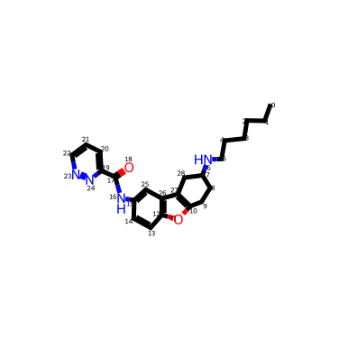 CCCCCCNC1CCc2oc3ccc(NC(=O)c4cccnn4)cc3c2C1